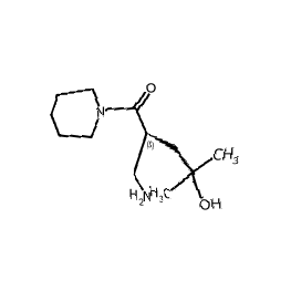 CC(C)(O)C[C@@H](CN)C(=O)N1CCCCC1